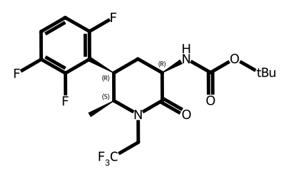 C[C@H]1[C@@H](c2c(F)ccc(F)c2F)C[C@@H](NC(=O)OC(C)(C)C)C(=O)N1CC(F)(F)F